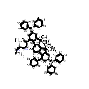 C=C(/C=C\C=C/C)c1cc(N(c2ccccc2)c2ccccc2)cc2c1-c1ccc3c(c1C2(C)C)C(C)(C)c1cc(N(c2ccccc2)c2ccccc2)cc(-c2ccccc2)c1-3